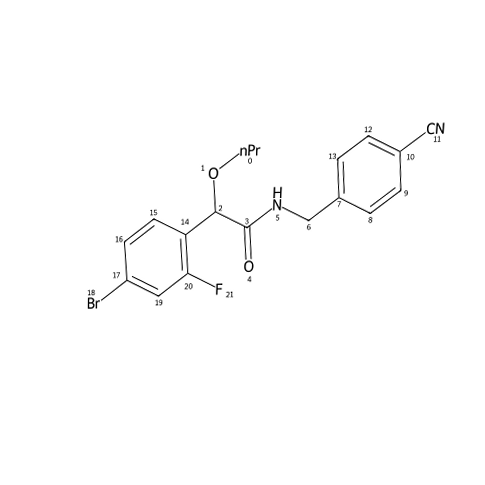 CCCOC(C(=O)NCc1ccc(C#N)cc1)c1ccc(Br)cc1F